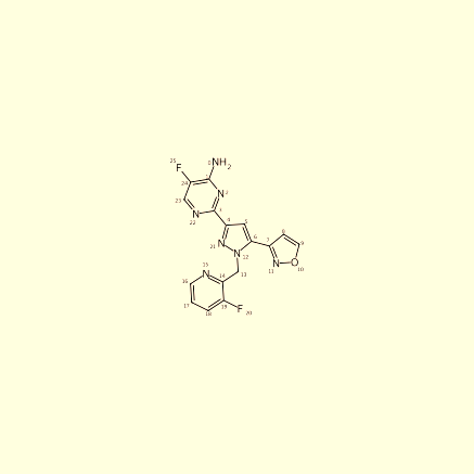 Nc1nc(-c2cc(-c3ccon3)n(Cc3ncccc3F)n2)ncc1F